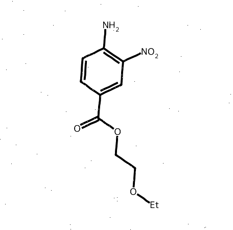 CCOCCOC(=O)c1ccc(N)c([N+](=O)[O-])c1